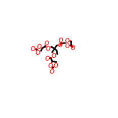 CCC(COC(=O)C1COC(=O)O1)(COC(=O)C1COC(=O)O1)COC(=O)C1OCC(=O)O1